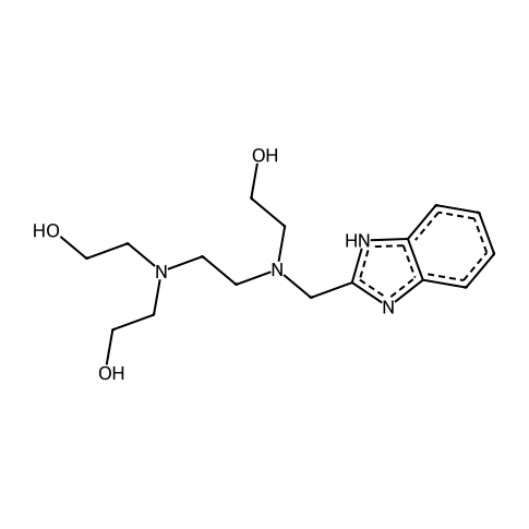 OCCN(CCO)CCN(CCO)Cc1nc2ccccc2[nH]1